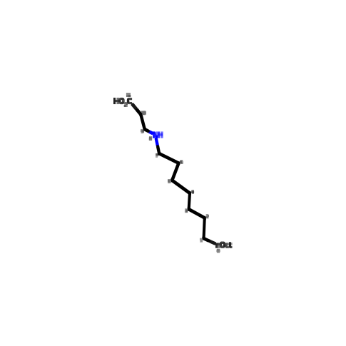 CCCCCCCCCCCCCCCNCCC(=O)O